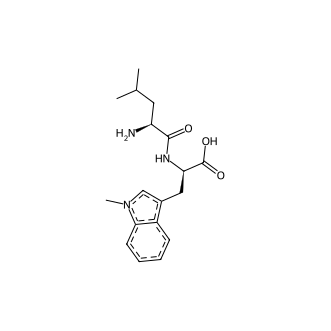 CC(C)C[C@H](N)C(=O)N[C@H](Cc1cn(C)c2ccccc12)C(=O)O